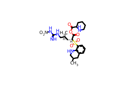 CC1CNc2c(cccc2S(=O)(=O)[C@H](C[C@@H](C)CNC(=N)N[N+](=O)[O-])C(=O)OC(=O)C2CCCCN2)C1